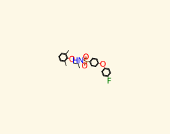 Cc1cccc(C)c1OCC(C)NS(=O)(=O)c1ccc(Oc2ccc(F)cc2)cc1